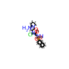 NCC(C(=O)N1CCCCC1)N(Cl)C(=O)CNS(=O)(=O)c1ccc2ccccc2c1